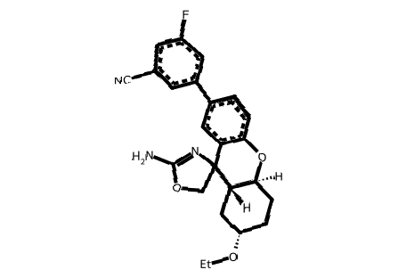 CCO[C@H]1CC[C@@H]2Oc3ccc(-c4cc(F)cc(C#N)c4)cc3C3(COC(N)=N3)[C@H]2C1